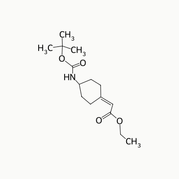 CCOC(=O)C=C1CCC(NC(=O)OC(C)(C)C)CC1